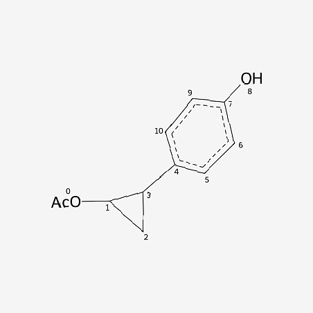 CC(=O)OC1CC1c1ccc(O)cc1